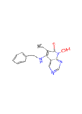 N#Cc1c(NCc2ccccc2)c2cncnc2n(O)c1=O